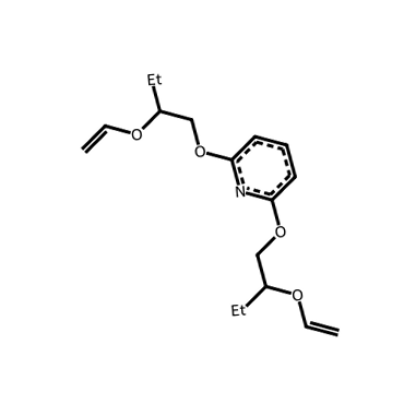 C=COC(CC)COc1cccc(OCC(CC)OC=C)n1